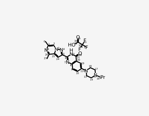 Cc1cn2nc(-c3nc4ccc(N5CCN(C(C)C)CC5)cc4c(=O)[nH]3)cc2c(C)n1.O=C(O)C(F)(F)F